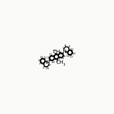 Cc1c2ccc(N3CCCc4ccccc43)cc2c(C)c2ccc(N3CCCc4ccccc43)cc12